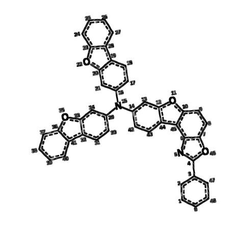 c1ccc(-c2nc3c(ccc4oc5cc(N(c6ccc7c(c6)oc6ccccc67)c6ccc7c(c6)oc6ccccc67)ccc5c43)o2)cc1